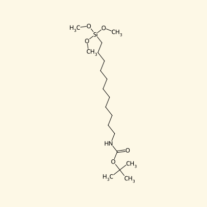 CO[Si](CCCCCCCCCCCNC(=O)OC(C)(C)C)(OC)OC